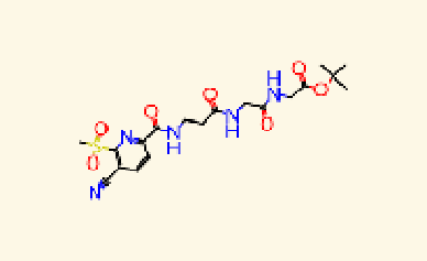 CC(C)(C)OC(=O)CNC(=O)CNC(=O)CCNC(=O)c1ccc(C#N)c(S(C)(=O)=O)n1